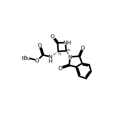 CC(C)(C)OC(=O)N[C@@H]1C(=O)N[C@@H]1N1C(=O)c2ccccc2C1=O